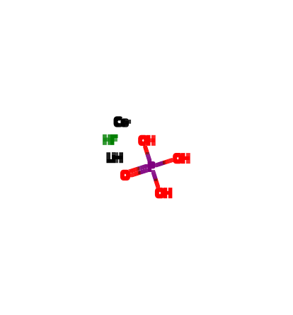 F.O=P(O)(O)O.[Co].[LiH]